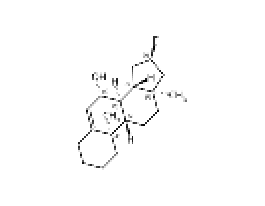 C[C@]12CC[C@H]3[C@@H]([C@@H](O)C=C4CCCC[C@@]43C)[C@@H]1C[C@@H](F)C2